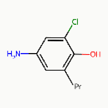 CC(C)c1cc(N)cc(Cl)c1O